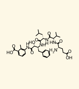 Cc1c(NC(=O)[C@H](O)[C@H](Cc2ccccc2)NC(=O)[C@H](CC(C)C)NC(=O)[C@@H](NC(=O)[C@@H](N)CCC(=O)O)C(C)C)cccc1C(=O)O